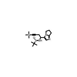 CC(C)(C)[S+]([O-])NC(CC#C[Si](C)(C)C)c1cnc2n1CCC2